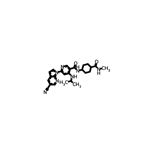 CNC(=O)C1CCC(NC(=O)c2cnc(-n3ccc4cc(C#N)cnc43)cc2NC(C)C)CC1